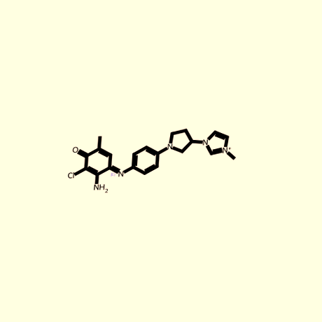 CC1=C/C(=N\c2ccc(N3CCC(n4cc[n+](C)c4)C3)cc2)C(N)=C(Cl)C1=O